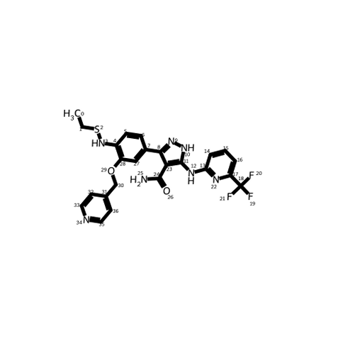 CCSNc1ccc(-c2n[nH]c(Nc3cccc(C(F)(F)F)n3)c2C(N)=O)cc1OCc1ccncc1